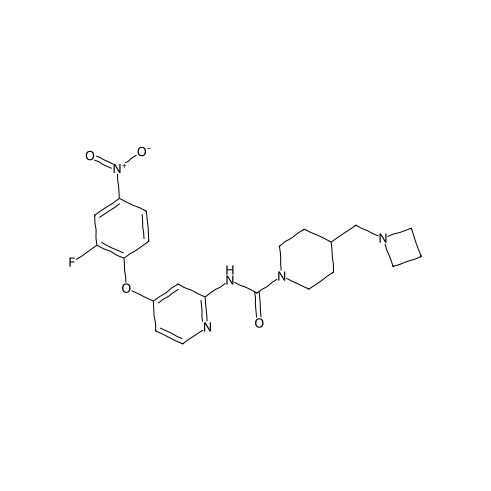 O=C(Nc1cc(Oc2ccc([N+](=O)[O-])cc2F)ccn1)N1CCC(CN2CCC2)CC1